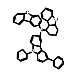 C1=CCC(N2c3ccc(-c4ccccc4)cc3C3C=C(N(c4ccc5oc6ccccc6c5c4)C4CCCC5OC6C=CC=CC6C54)C=CC32)C=C1